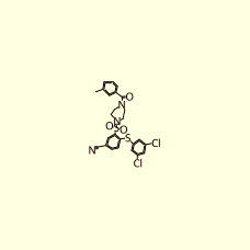 Cc1cccc(C(=O)N2CCN(S(=O)(=O)c3cc(C#N)ccc3Sc3cc(Cl)cc(Cl)c3)CC2)c1